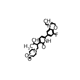 CCN1CCOc2c(F)cc(-c3ccc(C(CN4CCS(=O)(=O)CC4)C(C)C)c(=O)[nH]3)cc21